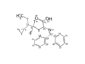 CCC(C1CC1)C(F)(F)CC(N=C(c1ccccc1)c1ccccc1)C(=O)O